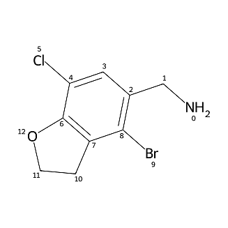 NCc1cc(Cl)c2c(c1Br)CCO2